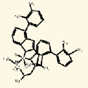 Cc1cccc(-c2cccc3c2C=C(CC(C)C)[CH]3[Zr]([Cl])([Cl])([CH]2C(CC(C)C)=Cc3c(-c4cccc(C)c4C)cccc32)[SiH](C)C)c1C